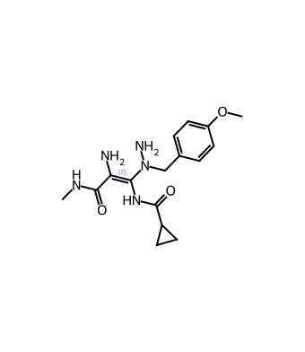 CNC(=O)/C(N)=C(\NC(=O)C1CC1)N(N)Cc1ccc(OC)cc1